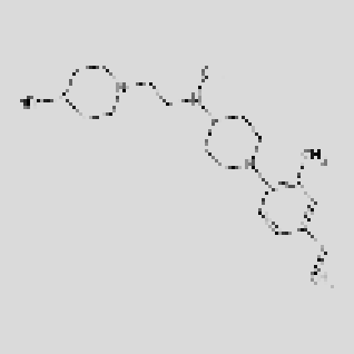 C=Nc1ccc(N2CCC(N(C)CCN3CCN(CCC)CC3)CC2)c(C)c1